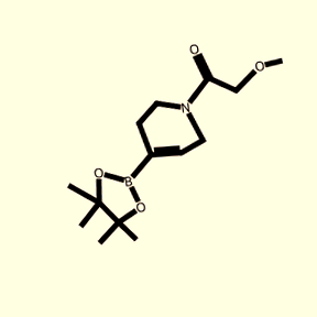 COCC(=O)N1CC=C(B2OC(C)(C)C(C)(C)O2)CC1